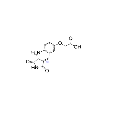 Nc1ccc(OCC(=O)O)cc1/C=C1\CC(=O)NC1=O